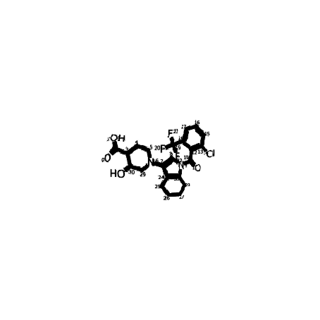 O=C(O)C1CCN(c2cn(C(=O)c3c(Cl)cccc3C(F)(F)F)c3c2CCCC3)CC1O